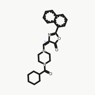 O=C1OC(c2cccc3ccccc23)=N/C1=C/N1CCN(C(=O)C2CCCCC2)CC1